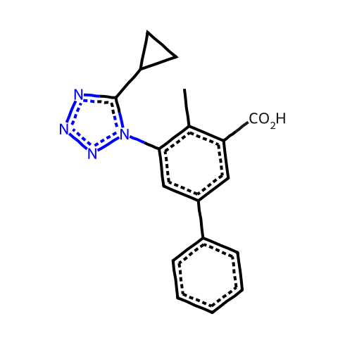 Cc1c(C(=O)O)cc(-c2ccccc2)cc1-n1nnnc1C1CC1